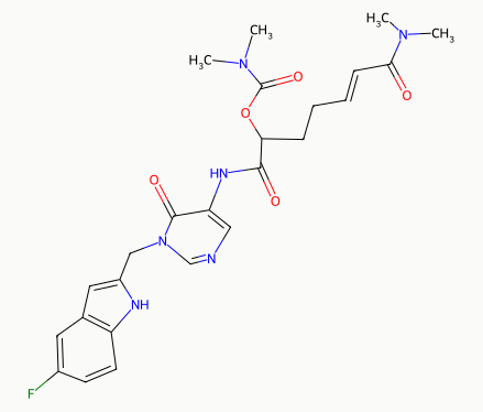 CN(C)C(=O)/C=C/CCC(OC(=O)N(C)C)C(=O)Nc1cncn(Cc2cc3cc(F)ccc3[nH]2)c1=O